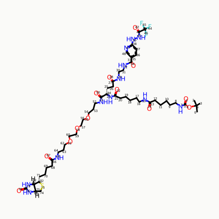 CC(C)(C)OC(=O)NCCCCCC(=O)NCCCCCC(=O)N[C@@H](CCC(=O)NCCNC(=O)c1ccc(NNC(=O)C(F)(F)F)nc1)C(=O)NCCCOCCOCCOCCCNC(=O)CCCC[C@@H]1SC[C@@H]2NC(=O)N[C@@H]21